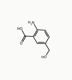 Nc1ccc(CO)cc1C(=O)O